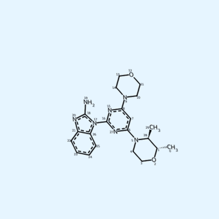 C[C@@H]1OCCN(c2cc(N3CCOCC3)nc(-n3c(N)nc4ccccc43)n2)[C@H]1C